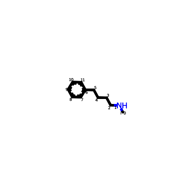 [CH]NCCCCc1ccccc1